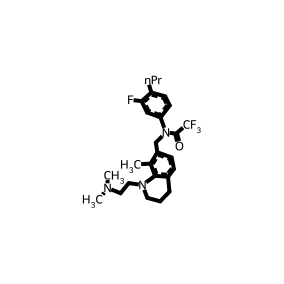 CCCc1ccc(N(Cc2ccc3c(c2C)N(CCN(C)C)CCC3)C(=O)C(F)(F)F)cc1F